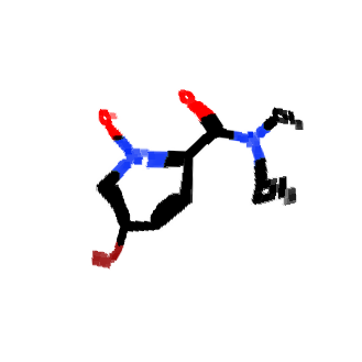 CN(C)C(=O)c1ccc(Br)c[n+]1[O-]